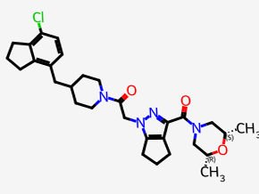 C[C@@H]1CN(C(=O)c2nn(CC(=O)N3CCC(Cc4ccc(Cl)c5c4CCC5)CC3)c3c2CCC3)C[C@H](C)O1